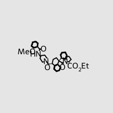 CCOC(=O)[C@H]1CCCN1C(=O)[C@@]1(c2ccccc2)CC[C@H](C(=O)N2CCC(NC(=O)c3ccccc3OC)CC2)c2ccccc21